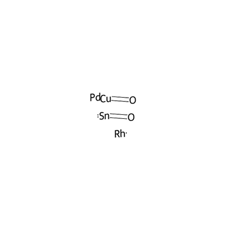 [O]=[Cu].[O]=[Sn].[Pd].[Rh]